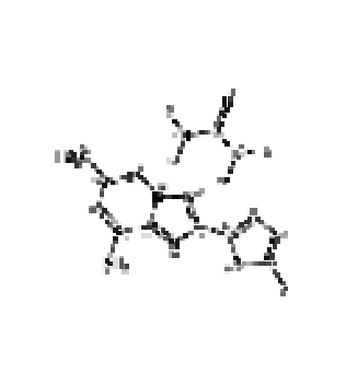 CN(C)C(=O)N(C)C.Cc1ccc(-c2nc3c(N)cc(C(=O)O)cn3n2)s1